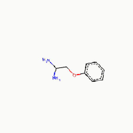 NC(N)COc1ccccc1